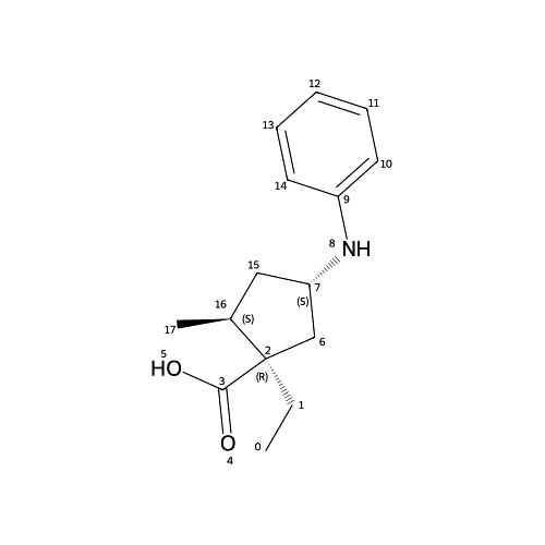 CC[C@@]1(C(=O)O)C[C@@H](Nc2ccccc2)C[C@@H]1C